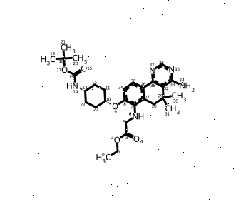 CCOC(=O)CNc1c(O[C@H]2CC[C@@H](NC(=O)OC(C)(C)C)CC2)ccc2c1CC(C)(C)c1c(N)ncnc1-2